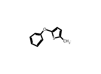 [CH2]c1ccc(Oc2ccccc2)s1